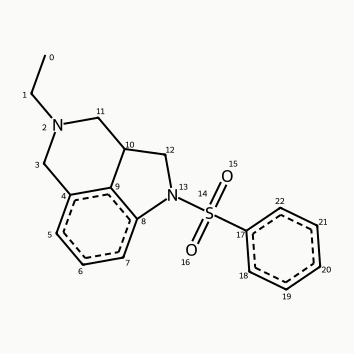 CCN1Cc2cccc3c2C(C1)CN3S(=O)(=O)c1ccccc1